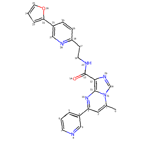 Cc1cc(-c2cccnc2)nc2c(C(=O)NCCc3ccc(-c4ccco4)cn3)ncn12